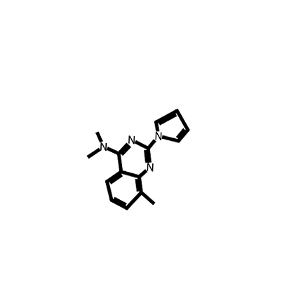 Cc1cccc2c(N(C)C)nc(-n3cccc3)nc12